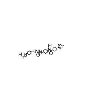 Bc1ccc(CCNC(=O)/C=C/c2ccc(NC(=O)C3CCC(C4CCC(C)CC4)CC3)cc2)cc1